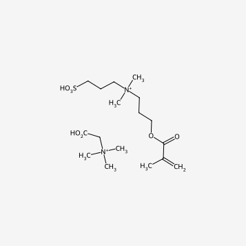 C=C(C)C(=O)OCCC[N+](C)(C)CCCS(=O)(=O)O.C[N+](C)(C)CC(=O)O